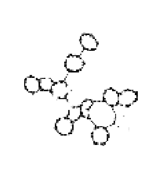 Cc1c2cc3c(c1-c1ccccc1C(C)[C@@H](C)c1c-2ccc2ccccc12)c1ccccc1n3-c1nc(-c2ccc(-c3ccccc3)cc2)c2sc3ccccc3c2n1